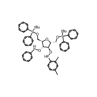 Cc1ccc(PO[C@H]2[C@H](OPc3ccccc3)[C@@H](CO[Si](c3ccccc3)(c3ccccc3)C(C)(C)C)O[C@@H]2CO[Si](c2ccccc2)(c2ccccc2)C(C)(C)C)c(C)c1